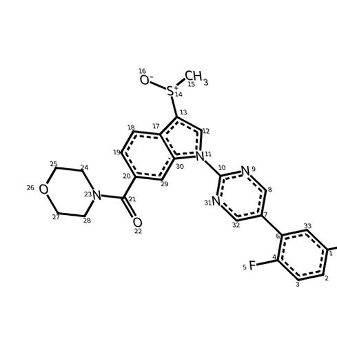 CCc1ccc(F)c(-c2cnc(-n3cc([S+](C)[O-])c4ccc(C(=O)N5CCOCC5)cc43)nc2)c1